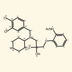 CC(=O)Nc1ccccc1OCC(C)(O)CN(Cc1ccc(Cl)c(Cl)c1)C1CCNCC1